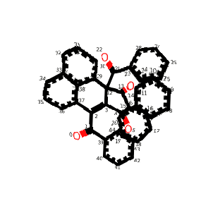 O=C(C1=C(C(=O)c2ccccc2)C(C(=O)c2ccccc2)(C(=O)c2ccccc2)c2cccc3cccc1c23)c1ccccc1